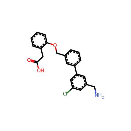 NCc1cc(Cl)cc(-c2cccc(COc3ccccc3CC(=O)O)c2)c1